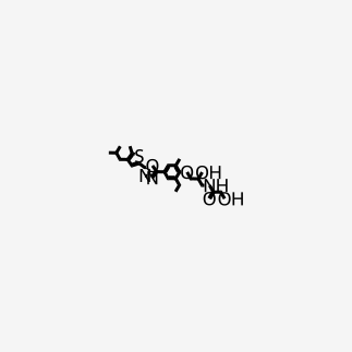 CCc1cc(-c2nnc(-c3cc(CC(C)C)c(C)s3)o2)cc(C)c1OCC(O)CNC(=O)CO